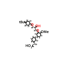 COc1ccc(-c2cccc(CC(=O)O)c2)cc1OCC(O)COc1ccc(C(C)(C)C)cc1